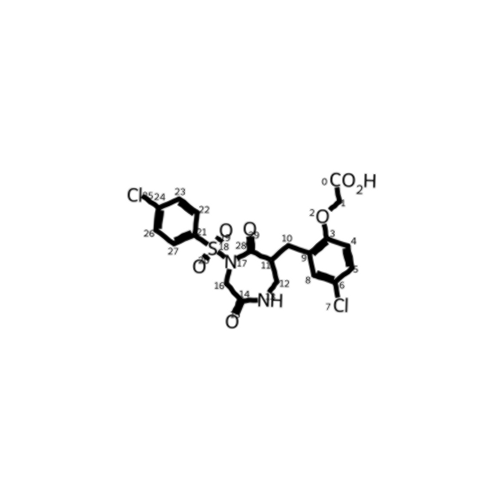 O=C(O)COc1ccc(Cl)cc1CC1CNC(=O)CN(S(=O)(=O)c2ccc(Cl)cc2)C1=O